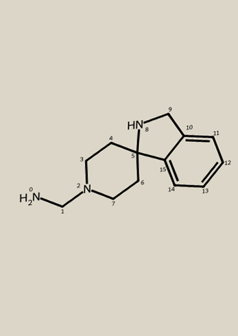 NCN1CCC2(CC1)NCc1ccccc12